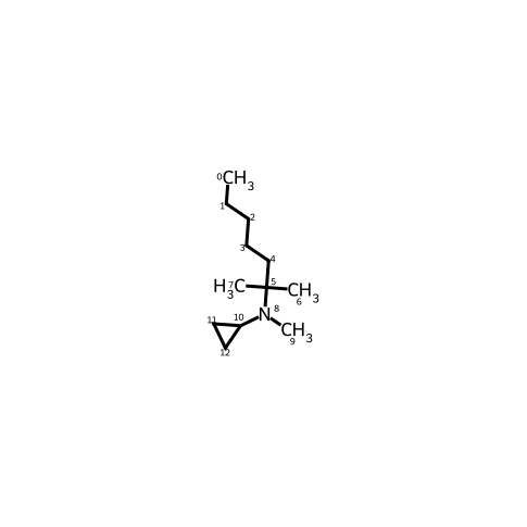 CCCCCC(C)(C)N(C)C1CC1